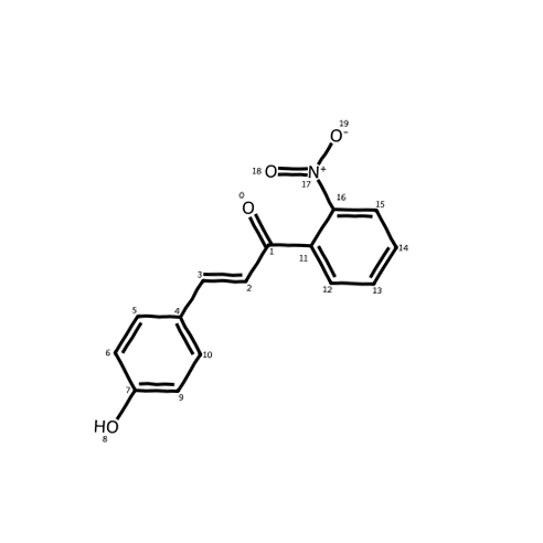 O=C(C=Cc1ccc(O)cc1)c1ccccc1[N+](=O)[O-]